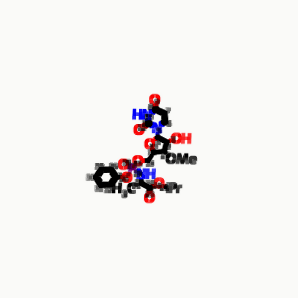 CO[C@@H]1[C@H](O)[C@H](n2ccc(=O)[nH]c2=O)O[C@@H]1COP(=O)(N[C@@H](C)C(=O)OC(C)C)Oc1ccccc1